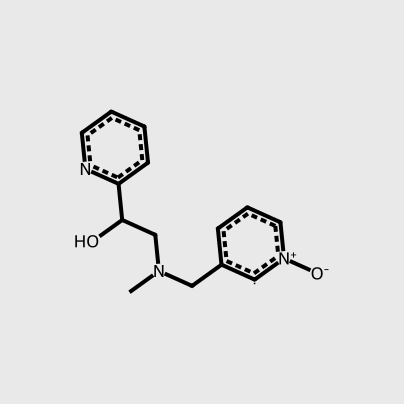 CN(Cc1[c][n+]([O-])ccc1)CC(O)c1ccccn1